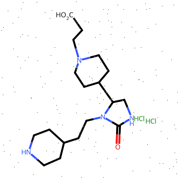 Cl.Cl.O=C(O)CCN1CCC(C2CNC(=O)N2CCC2CCNCC2)CC1